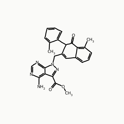 COC(=O)c1nn(CC2=Cc3cccc(C)c3C(=O)C2c2ccccc2C)c2ncnc(N)c12